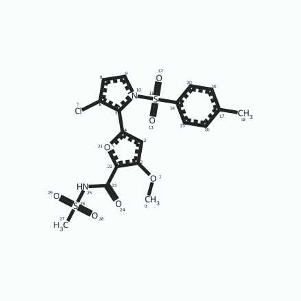 COc1cc(-c2c(Cl)ccn2S(=O)(=O)c2ccc(C)cc2)oc1C(=O)NS(C)(=O)=O